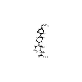 CCc1cnc(N2CCC(N3CCCC(NC(=O)O)C3=O)CC2)nc1